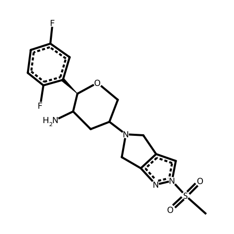 CS(=O)(=O)n1cc2c(n1)CN(C1CO[C@H](c3cc(F)ccc3F)C(N)C1)C2